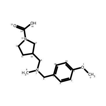 COc1ccc(CN(C)CC2CCN(C(=O)O)C2)cc1